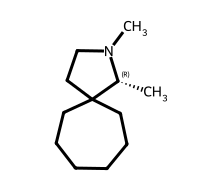 C[C@H]1N(C)CCC12CCCCCC2